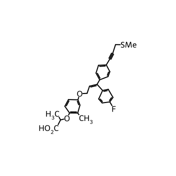 CSCC#Cc1ccc(C(=CCOc2ccc(OC(C)C(=O)O)c(C)c2)c2ccc(F)cc2)cc1